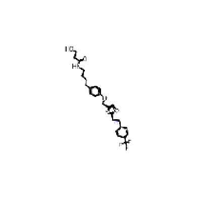 O=C(CCO)NCCCCc1ccc(OCc2coc(/C=C/c3ccc(C(F)(F)F)cc3)n2)cc1